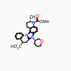 COC(=O)N1c2ccc3c(nc(C[C@@H](C(=O)O)c4ccccc4)n3[C@@H]3CCCOC3)c2CC[C@@H]1C